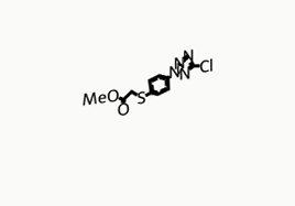 COC(=O)CSc1ccc(-n2nnc(Cl)n2)cc1